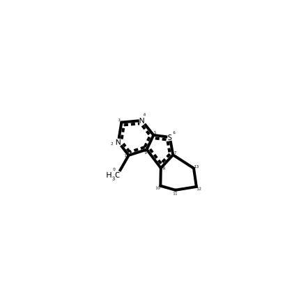 Cc1ncnc2sc3c(c12)CCCC3